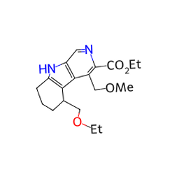 CCOCC1CCCc2[nH]c3cnc(C(=O)OCC)c(COC)c3c21